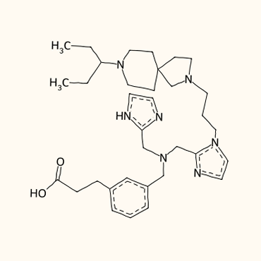 CCC(CC)N1CCC2(CCN(CCCn3ccnc3CN(Cc3cccc(CCC(=O)O)c3)Cc3ncc[nH]3)C2)CC1